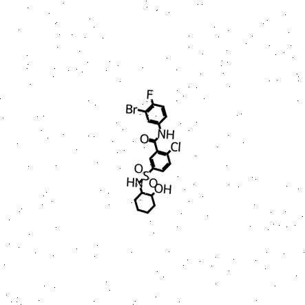 O=C(Nc1ccc(F)c(Br)c1)c1cc(S(=O)(=O)NC2CCCCC2O)ccc1Cl